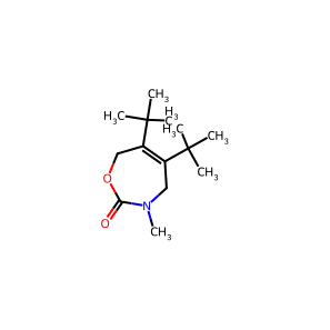 CN1CC(C(C)(C)C)=C(C(C)(C)C)COC1=O